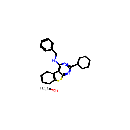 O=C(O)O.c1ccc(CNc2nc(C3CCCCC3)nc3sc4c(c23)CCCC4)cc1